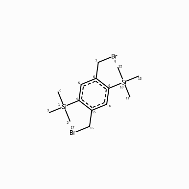 C[Si](C)(C)c1cc(CBr)c([Si](C)(C)C)cc1CBr